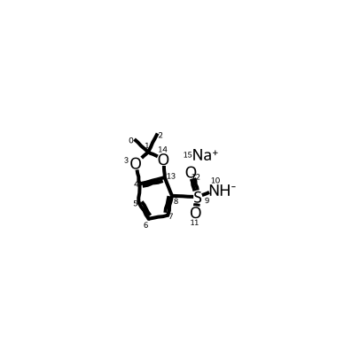 CC1(C)Oc2cccc(S([NH-])(=O)=O)c2O1.[Na+]